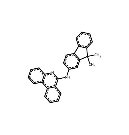 CC1(C)c2ccccc2-c2ccc(Nc3nc4ccccc4c4ccccc34)cc21